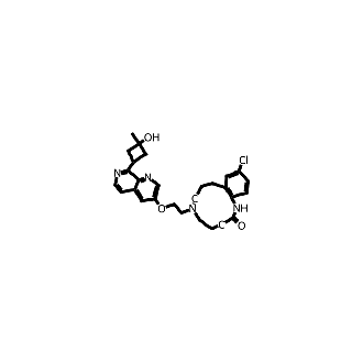 CC1(O)CC(c2nccc3cc(OCCN4CCCC(=O)Nc5ccc(Cl)cc5CCC4)cnc23)C1